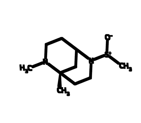 CN1CCC2C[C@]1(C)CCN2[S+](C)[O-]